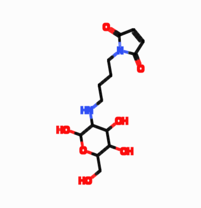 O=C1C=CC(=O)N1CCCCNC1C(O)OC(CO)C(O)C1O